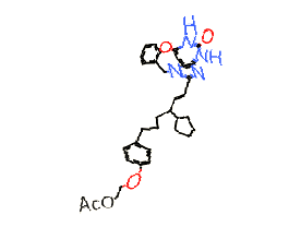 CC(=O)OCCOc1ccc(CCCC(CCc2nc3[nH]c(=O)[nH]c(=O)c3n2Cc2ccccc2)C2CCCC2)cc1